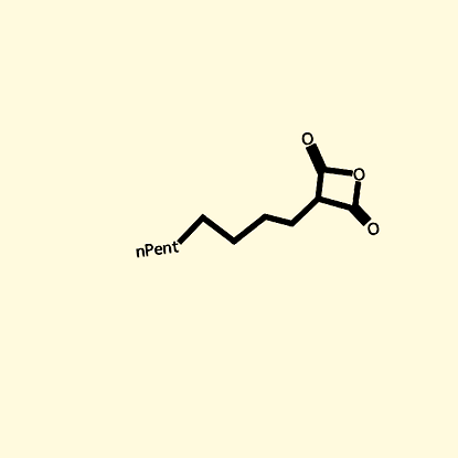 CCCCCCCCCC1C(=O)OC1=O